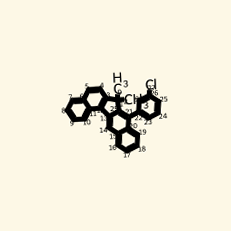 CC1(C)c2ccc3ccccc3c2-c2cc3ccccc3c(-c3cccc(Cl)c3)c21